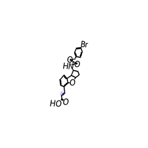 O=C(O)/C=C/c1cccc2c1OC1CCC(NS(=O)(=O)c3ccc(Br)cc3)C21